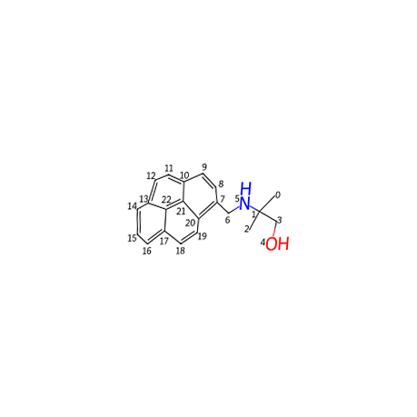 CC(C)(CO)NCc1ccc2ccc3cccc4ccc1c2c34